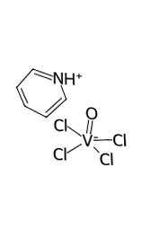 [O]=[V-]([Cl])([Cl])([Cl])[Cl].c1cc[nH+]cc1